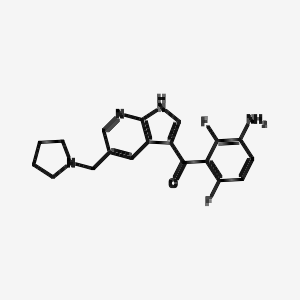 Nc1ccc(F)c(C(=O)c2c[nH]c3ncc(CN4CCCC4)cc23)c1F